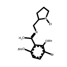 CCN1CCCC1C/N=C(\C)c1c(OC)ccc(Br)c1OC